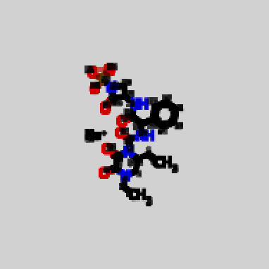 CC[C@H]1CN(CC)C(=O)C(=O)N1C(=O)NC(C(=O)NC1CN(S(=O)(=O)[O-])C1=O)c1ccccc1.[Na+]